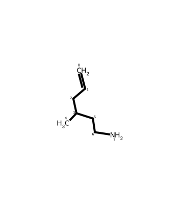 C=CCC(C)CCN